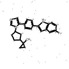 CC1(C2CCC(n3cncc3-c3ccc(-c4cc5cc(F)ccc5[nH]4)cc3)C2)CC1